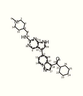 CN1CCC(CNc2ncc3c(-c4ccn5ncc(C(=O)C6CCCCC6)c5c4)c[nH]c3n2)CC1